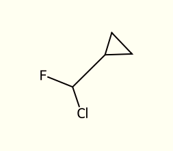 FC(Cl)C1CC1